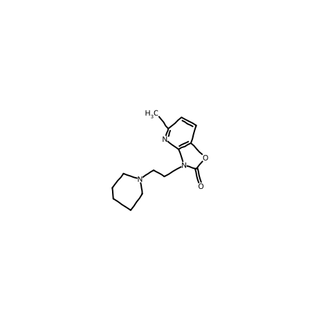 Cc1ccc2oc(=O)n(CCN3CCCCC3)c2n1